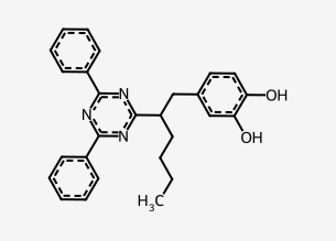 CCCCC(Cc1ccc(O)c(O)c1)c1nc(-c2ccccc2)nc(-c2ccccc2)n1